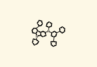 c1ccc(-c2cc(-c3ccccc3)cc(N(c3ccccc3)c3ccc4c(c3)c3c(-c5ccccc5)cccc3n4-c3ccccc3)c2)cc1